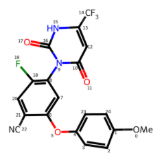 COc1ccc(Oc2cc(-n3c(=O)cc(C(F)(F)F)[nH]c3=O)c(F)cc2C#N)cc1